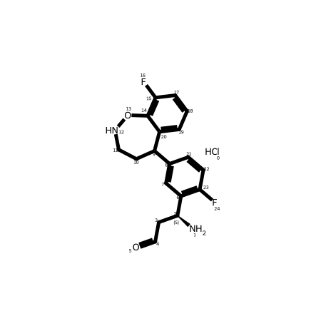 Cl.N[C@@H](CC=O)c1cc(C2CCNOc3c(F)cccc32)ccc1F